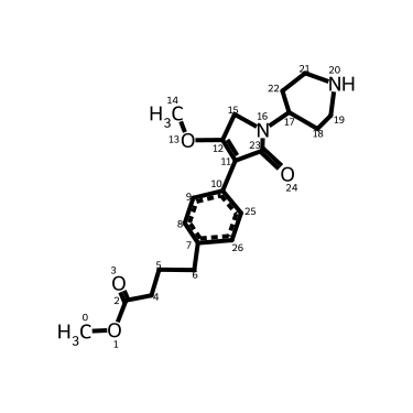 COC(=O)CCCc1ccc(C2=C(OC)CN(C3CCNCC3)C2=O)cc1